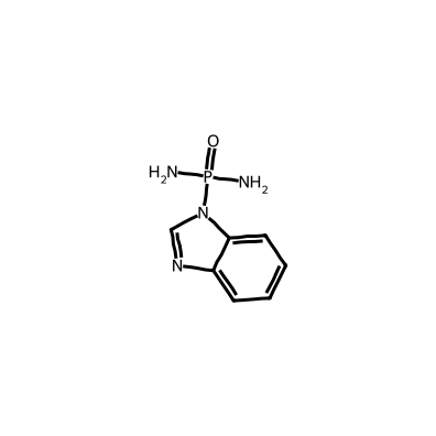 NP(N)(=O)n1cnc2ccccc21